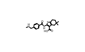 CNCc1ccc(C(=O)Nc2sc3c(c2C(=O)O)CC(C)(C)CC3)cc1